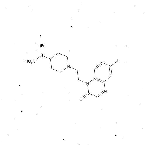 CC(C)(C)N(C(=O)O)C1CCN(CCn2c(=O)cnc3cc(F)ccc32)CC1